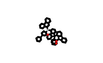 C1=CCC(C23c4ccccc4-c4cccc(c42)C(c2ccccc2)(c2cccc(N(c4ccc(-c5ccccc5)cc4)c4cc5ccccc5c5ccccc45)c2)c2ccccc23)C=C1